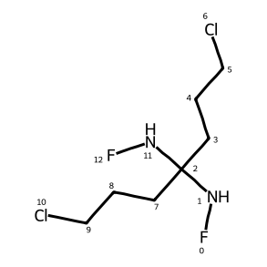 FNC(CCCCl)(CCCCl)NF